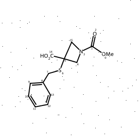 COC(=O)N1CC(SCc2ccccc2)(C(=O)O)C1